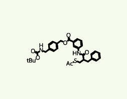 CC(=O)SCC(Cc1ccccc1)C(=O)Nc1cccc(C(=O)OCc2ccc(CNC(=O)OC(C)(C)C)cc2)c1